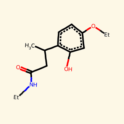 CCNC(=O)CC(C)c1ccc(OCC)cc1O